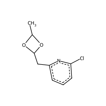 CC1OC(Cc2cccc(Cl)n2)O1